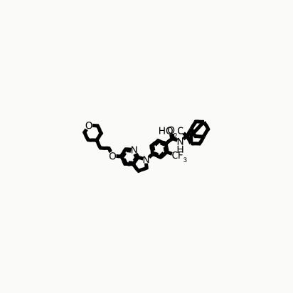 O=C(NC1(C(=O)O)C2CC3CC(C2)CC1C3)c1ccc(N2CCc3cc(OCCC4CCOCC4)cnc32)cc1C(F)(F)F